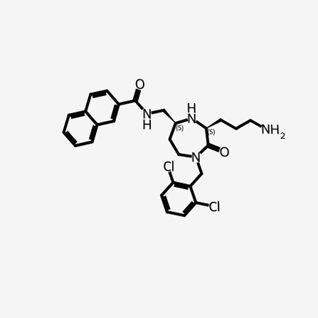 NCCC[C@@H]1N[C@H](CNC(=O)c2ccc3ccccc3c2)CCN(Cc2c(Cl)cccc2Cl)C1=O